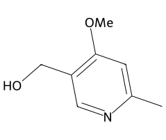 COc1cc(C)ncc1CO